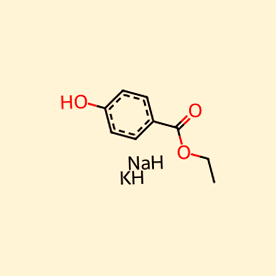 CCOC(=O)c1ccc(O)cc1.[KH].[NaH]